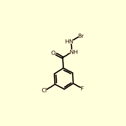 O=C(NNBr)c1cc(F)cc(Cl)c1